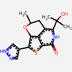 CC1Cc2c(C(C)(C)O)[nH]c(=O)c3sc(-c4cn[nH]c4)c(c23)O1